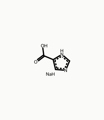 O=C(O)c1cnc[nH]1.[NaH]